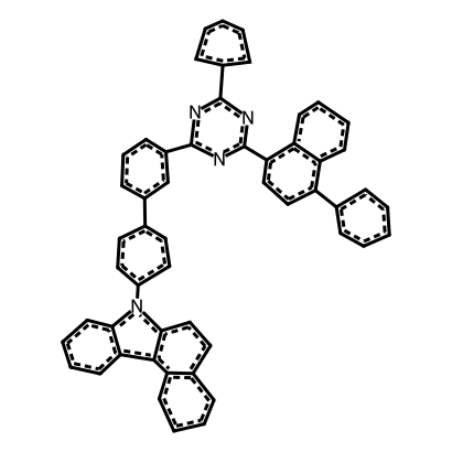 c1ccc(-c2nc(-c3cccc(-c4ccc(-n5c6ccccc6c6c7ccccc7ccc65)cc4)c3)nc(-c3ccc(-c4ccccc4)c4ccccc34)n2)cc1